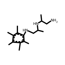 Cc1c(C)c(C)c(NCC(C)NC(C)CN)c(C)c1C